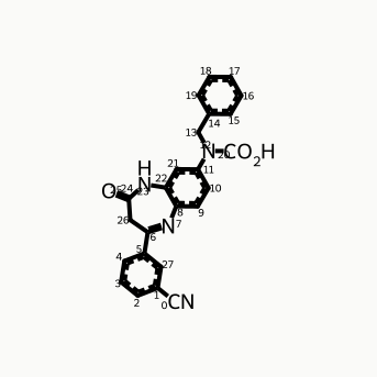 N#Cc1cccc(C2=Nc3ccc(N(Cc4ccccc4)C(=O)O)cc3NC(=O)C2)c1